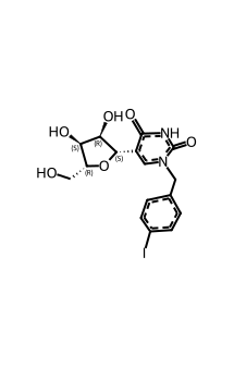 O=c1[nH]c(=O)n(Cc2ccc(I)cc2)cc1[C@@H]1O[C@H](CO)[C@@H](O)[C@H]1O